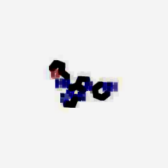 c1coc(CNc2c3c(nc4ccnn24)N([C@H]2CCCNC2)CC3)c1